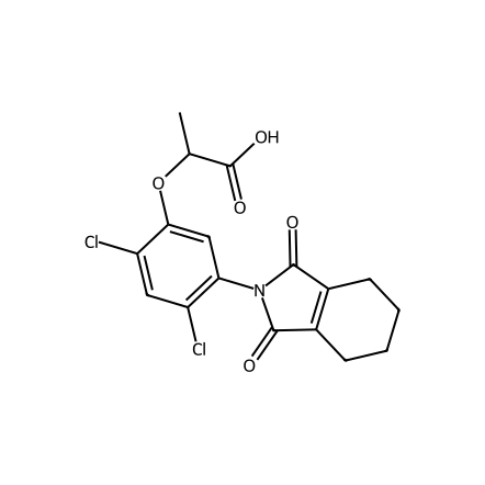 CC(Oc1cc(N2C(=O)C3=C(CCCC3)C2=O)c(Cl)cc1Cl)C(=O)O